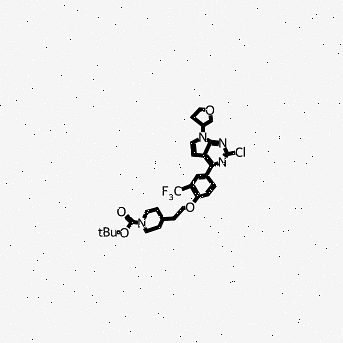 CC(C)(C)OC(=O)N1CCC(CCOc2ccc(-c3nc(Cl)nc4c3ccn4C3CCOC3)cc2C(F)(F)F)CC1